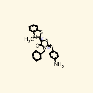 CN1/C(=C2/S/C(=N/c3ccc(N)cc3)N(Cc3ccccc3)C2=O)Sc2ccccc21